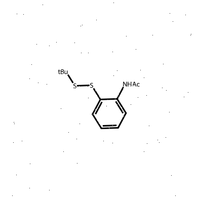 CC(=O)Nc1ccccc1SSC(C)(C)C